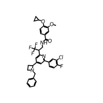 COc1cc(C(=O)NCC(c2cc(C3CCN3Cc3ccccc3)cc(-c3ccc(F)c(Cl)c3)n2)C(F)(F)F)ccc1OC1CC1